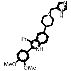 COc1ccc(-c2[nH]c3ccc(C4CCN(Cc5cnc[nH]5)CC4)cc3c2C(C)C)cc1OC